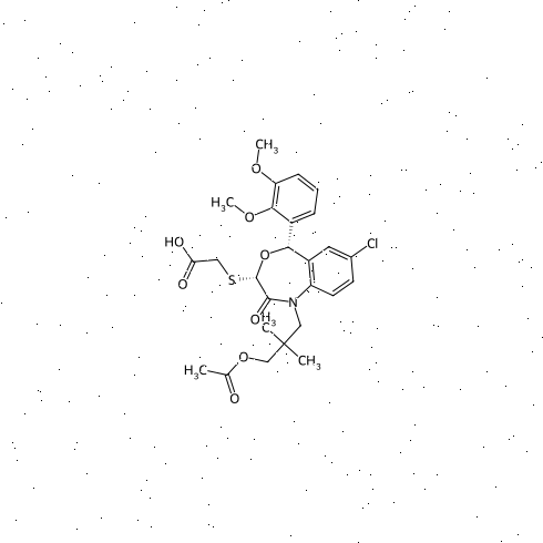 COc1cccc([C@H]2O[C@@H](SCC(=O)O)C(=O)N(CC(C)(C)COC(C)=O)c3ccc(Cl)cc32)c1OC